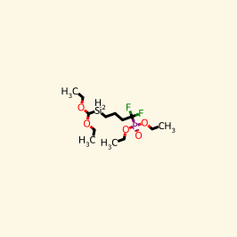 CCOC(OCC)[SiH2]CCCC(F)(F)P(=O)(OCC)OCC